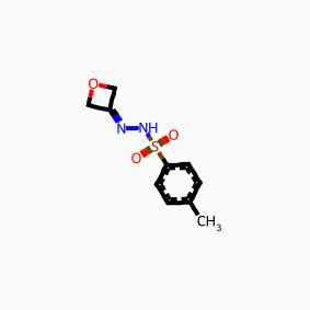 Cc1ccc(S(=O)(=O)NN=C2COC2)cc1